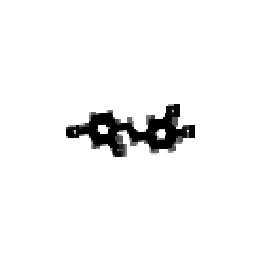 Clc1ccc(C[CH]c2ccc(Cl)c(Cl)c2)c(Cl)c1